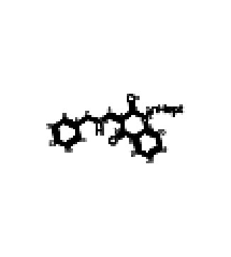 CCCCCCCN1C(=O)/C(=C/NCc2ccccc2)C(=O)c2ccccc21